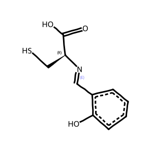 O=C(O)[C@H](CS)/N=C/c1ccccc1O